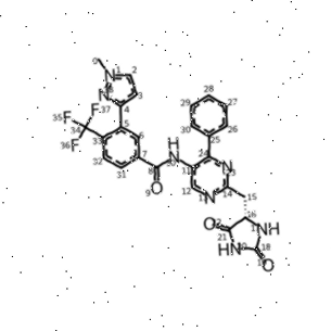 Cn1ccc(-c2cc(C(=O)Nc3cnc(C[C@@H]4NC(=O)NC4=O)nc3-c3ccccc3)ccc2C(F)(F)F)n1